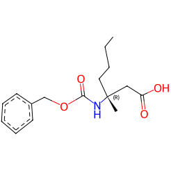 CCCC[C@](C)(CC(=O)O)NC(=O)OCc1ccccc1